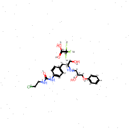 O=C(NCCCl)Nc1ccc(C[C@@H](CO)NC[C@H](O)COc2ccccc2)cc1.O=C(O)C(F)(F)F